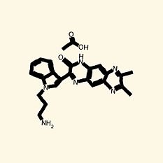 CC(=O)O.Cc1nc2cc3nc(-c4cn(CCCN)c5ccccc45)c(=O)[nH]c3cc2nc1C